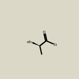 CCC[C@H](C)C(=O)CC